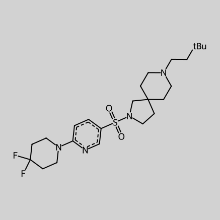 CC(C)(C)CCN1CCC2(CC1)CCN(S(=O)(=O)c1ccc(N3CCC(F)(F)CC3)nc1)C2